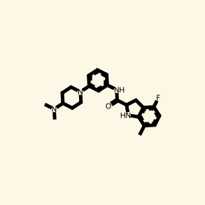 Cc1ccc(F)c2c1NC(C(=O)Nc1cccc(N3CCC(N(C)C)CC3)c1)C2